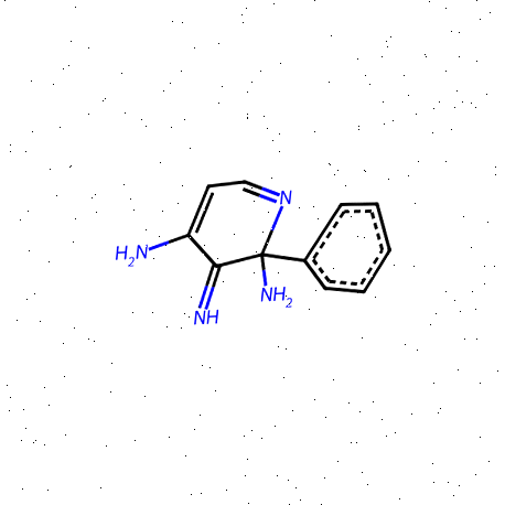 N=C1C(N)=CC=NC1(N)c1ccccc1